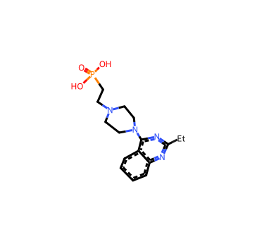 CCc1nc(N2CCN(CCP(=O)(O)O)CC2)c2ccccc2n1